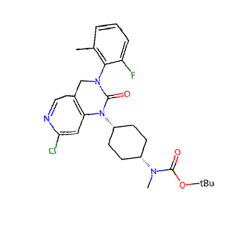 Cc1cccc(F)c1N1Cc2cnc(Cl)cc2N([C@H]2CC[C@@H](N(C)C(=O)OC(C)(C)C)CC2)C1=O